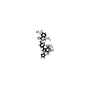 Cc1ccc(C)c(C(=O)NCc2ccc(-c3cn(C4CCCC4)c4c(=O)[nH]nc(N)c34)cn2)c1